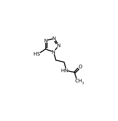 CC(=O)NCCn1nnnc1S